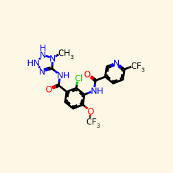 CN1NNN=C1NC(=O)c1ccc(OC(F)(F)F)c(NC(=O)c2ccc(C(F)(F)F)nc2)c1Cl